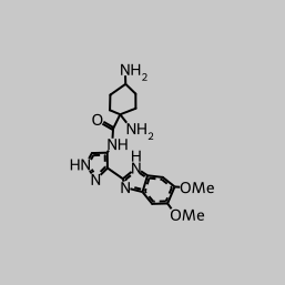 COc1cc2nc(-c3n[nH]cc3NC(=O)C3(N)CCC(N)CC3)[nH]c2cc1OC